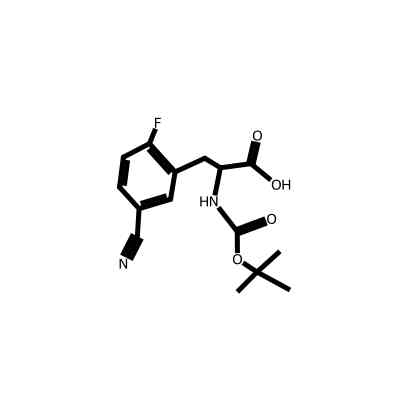 CC(C)(C)OC(=O)NC(Cc1cc(C#N)ccc1F)C(=O)O